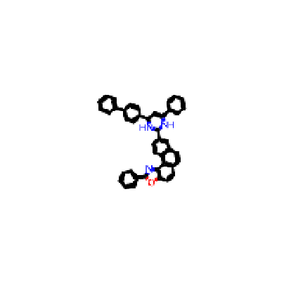 C1=C(c2ccccc2)NC(c2ccc3c(ccc4ccc5oc(-c6ccccc6)nc5c43)c2)NC1c1ccc(-c2ccccc2)cc1